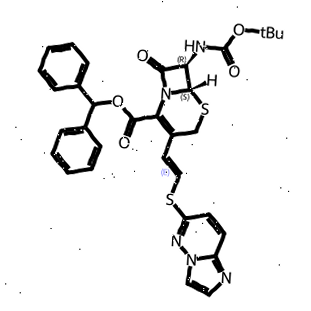 CC(C)(C)OC(=O)N[C@@H]1C(=O)N2C(C(=O)OC(c3ccccc3)c3ccccc3)=C(/C=C/Sc3ccc4nccn4n3)CS[C@@H]12